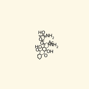 CC(=O)[C@]1(N)Cc2c(O)c3c(c(O)c2[C@@H](O[C@H]2C[C@H](N)[C@H](O)[C@H](C)O2)C1)C(=O)c1ccccc1C3=O